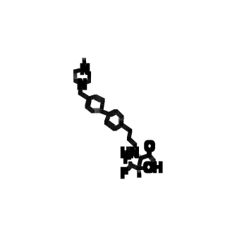 CC(=O)[C@@H](NCCCc1ccc(-c2ccc(CN3CCN(C)CC3)cc2)cc1)[C@](C)(O)C(F)F